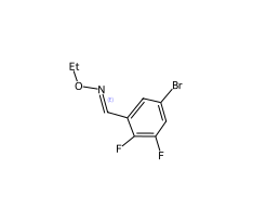 CCO/N=C/c1cc(Br)cc(F)c1F